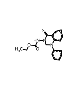 CCOC(=O)NN1CN(c2ccccc2)c2ccccc2C1=S